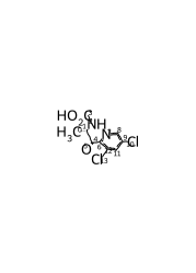 C[C@H](NC(=O)O)C(=O)c1ncc(Cl)cc1Cl